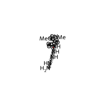 COc1cc(C2c3cc4c(cc3C(NC(=O)CCNCCCNCCCCNCCCN)C3COC(=O)C23)OCO4)cc(OC)c1O